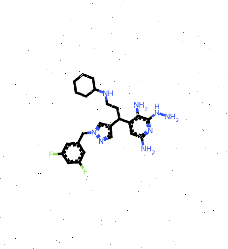 NNc1nc(N)cc(C(CCNC2CCCCC2)c2cnn(Cc3cc(F)cc(F)c3)c2)c1N